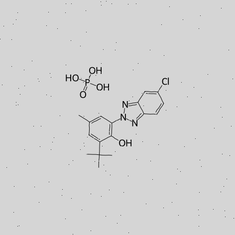 Cc1cc(-n2nc3ccc(Cl)cc3n2)c(O)c(C(C)(C)C)c1.O=P(O)(O)O